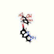 OC1O[C@@H]2[C@@H](Oc3ccc4cc5c(nc4c3)NCC5)CC[C@]2(O)[C@H]1O